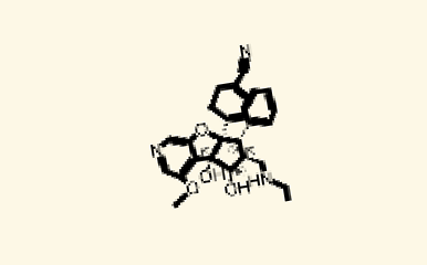 CCNC[C@@H]1[C@@H](c2ccccc2)[C@]2(C3=CC=C(C#N)CC3)Oc3cncc(OC)c3[C@]2(O)[C@@H]1O